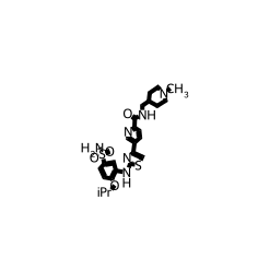 CC(C)Oc1ccc(S(N)(=O)=O)cc1Nc1nc(-c2ccc(C(=O)NCC3CCN(C)CC3)nc2)cs1